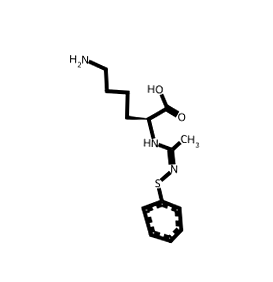 C/C(=N/Sc1ccccc1)N[C@@H](CCCCN)C(=O)O